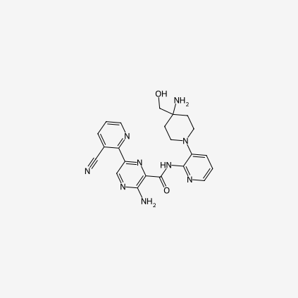 N#Cc1cccnc1-c1cnc(N)c(C(=O)Nc2ncccc2N2CCC(N)(CO)CC2)n1